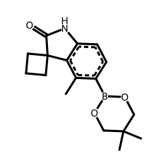 Cc1c(B2OCC(C)(C)CO2)ccc2c1C1(CCC1)C(=O)N2